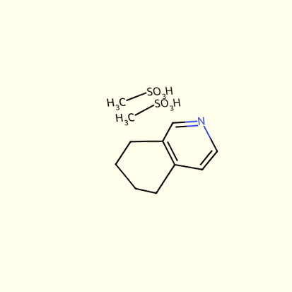 CS(=O)(=O)O.CS(=O)(=O)O.c1cc2c(cn1)CCCC2